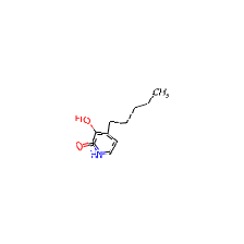 CCCCCc1cc[nH]c(=O)c1O